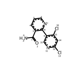 NC(=O)c1cccnc1-c1cnc(Cl)cc1Cl